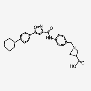 O=C(Nc1ccc(CN2CC(C(=O)O)C2)cc1)c1cc(-c2ccc(C3CCCCC3)cc2)on1